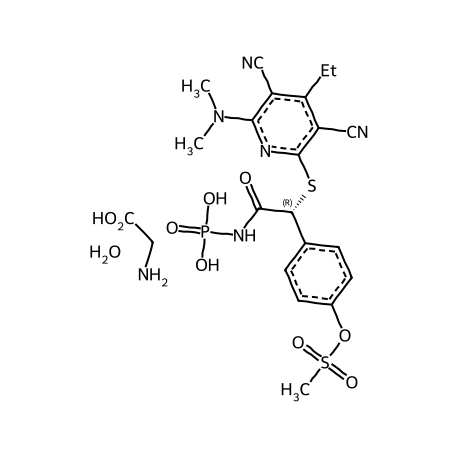 CCc1c(C#N)c(S[C@@H](C(=O)NP(=O)(O)O)c2ccc(OS(C)(=O)=O)cc2)nc(N(C)C)c1C#N.NCC(=O)O.O